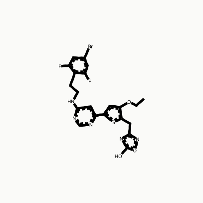 CCOc1cc(-c2cc(NCCc3c(F)cc(Br)cc3F)ncn2)sc1Cc1noc(O)n1